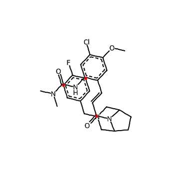 COc1cc(/C=C/C(=O)N2C3CCC2CN(Cc2ccc(F)cc2)C3)c(NC(=O)N(C)C)cc1Cl